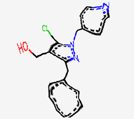 OCc1c(-c2ccccc2)nn(-c2ccncc2)c1Cl